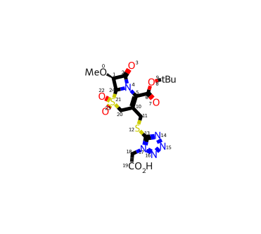 CO[C@H]1C(=O)N2C(C(=O)OC(C)(C)C)=C(CSc3nnnn3CC(=O)O)CS(=O)(=O)C12